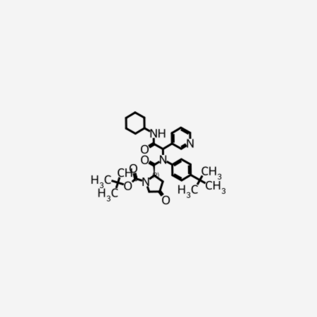 CC(C)(C)OC(=O)N1CC(=O)C[C@@H]1C(=O)N(c1ccc(C(C)(C)C)cc1)C(C(=O)NC1CCCCC1)c1cccnc1